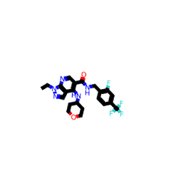 CCn1ncc2c(NC3CCOCC3)c(C(=O)NCc3ccc(C(F)(F)F)cc3F)cnc21